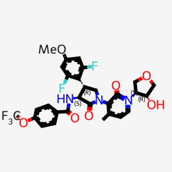 COc1cc(F)c([C@@H]2CN(c3c(C)ccn([C@H]4COC[C@@H]4O)c3=O)C(=O)[C@H]2NC(=O)c2ccc(OC(F)(F)F)cc2)c(F)c1